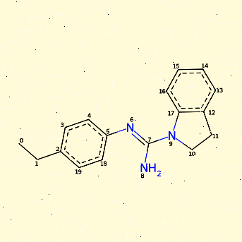 CCc1ccc(N=C(N)N2CCc3ccccc32)cc1